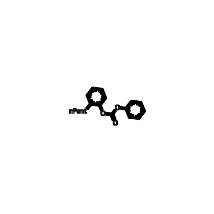 CCCCCc1ccccc1OC(=O)Oc1ccccc1